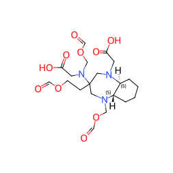 O=COCCC1(N(COC=O)CC(=O)O)CN(COC=O)[C@H]2CCCC[C@@H]2N(CC(=O)O)C1